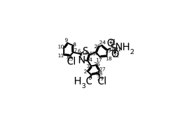 Cc1cc(-c2nc(-c3ccccc3Cl)sc2-c2ccc(S(N)(=O)=O)cc2)ccc1Cl